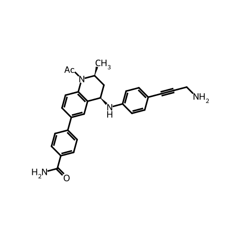 CC(=O)N1c2ccc(-c3ccc(C(N)=O)cc3)cc2[C@H](Nc2ccc(C#CCN)cc2)C[C@@H]1C